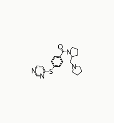 O=C(c1ccc(Sc2ccncn2)cc1)N1CCCC1CN1CCCC1